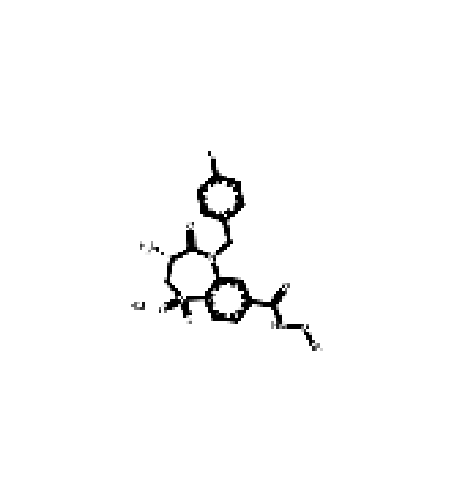 CC(C)(C)ONC(=O)c1ccc2c(c1)N(Cc1ccc(Cl)cc1)C(=O)[C@@H](N)CS2(=O)=O.Cl